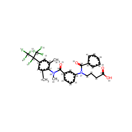 Cc1cc(C(F)(C(F)(F)F)C(F)(F)F)cc(C)c1N(C)C(=O)c1cccc(N(CCCC(=O)O)C(=O)c2ccccc2)c1